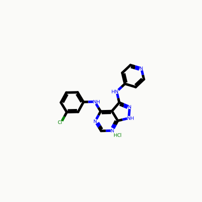 Cl.Clc1cccc(Nc2ncnc3[nH]nc(Nc4ccncc4)c23)c1